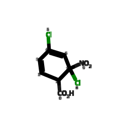 O=C(O)C1C=CC(Cl)=CC1(Cl)[N+](=O)[O-]